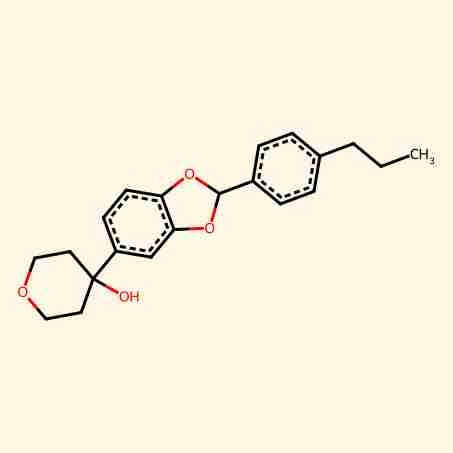 CCCc1ccc(C2Oc3ccc(C4(O)CCOCC4)cc3O2)cc1